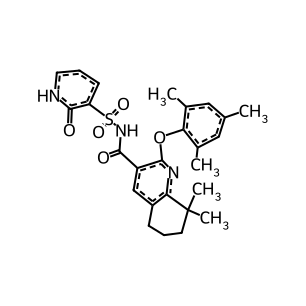 Cc1cc(C)c(Oc2nc3c(cc2C(=O)NS(=O)(=O)c2ccc[nH]c2=O)CCCC3(C)C)c(C)c1